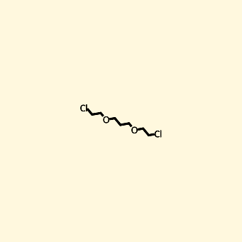 ClCCOCCCOCCCl